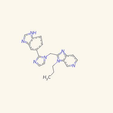 CCCn1c(Cn2ccnc2-c2ccc3[nH]cnc3c2)nc2ccncc21